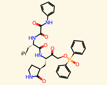 CC(C)C[C@H](NC(=O)C(=O)Nc1ccccc1)C(=O)N[C@@H](C[C@@H]1CCNC1=O)C(=O)COP(=O)(c1ccccc1)c1ccccc1